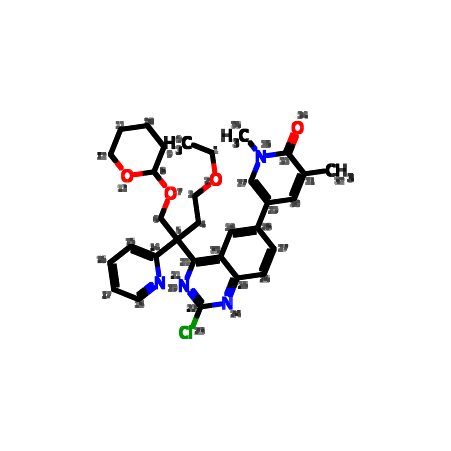 CCOCCC(COC1CCCCO1)(c1ccccn1)c1nc(Cl)nc2ccc(-c3cc(C)c(=O)n(C)c3)cc12